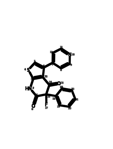 O=C1Nc2scc(-c3ccncc3)c2C(=O)C1(F)c1ccccc1